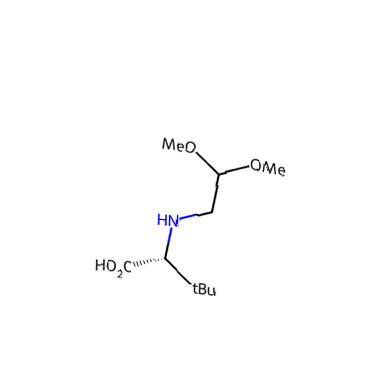 COC(CN[C@@H](C(=O)O)C(C)(C)C)OC